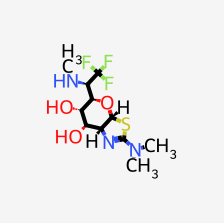 CN[C@H]([C@H]1O[C@@H]2SC(N(C)C)=N[C@@H]2[C@@H](O)[C@@H]1O)C(F)(F)F